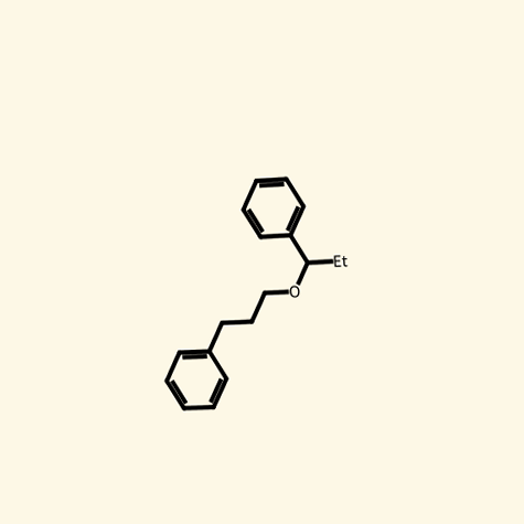 [CH2]CC(OCCCc1ccccc1)c1ccccc1